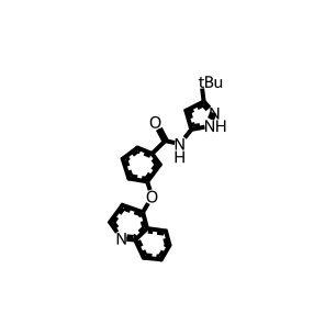 CC(C)(C)c1cc(NC(=O)c2cccc(Oc3ccnc4ccccc34)c2)[nH]n1